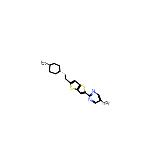 CCCc1cnc(-c2cc3sc(CC[C@H]4CC[C@H](CC)CC4)cc3s2)nc1